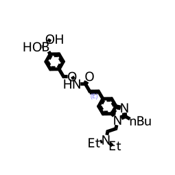 CCCCc1nc2cc(/C=C/C(=O)NOCc3ccc(B(O)O)cc3)ccc2n1CCN(CC)CC